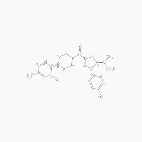 CN(C(=O)O)[C@@H]1CN(C(=O)C2CCN(c3ncc(C(F)(F)F)cc3Cl)CC2)C[C@H]1c1ccc(Cl)cc1